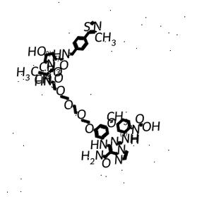 COc1cc(Nc2nc(N[C@H]3CCCC[C@H]3NC(=O)O)n3ccnc3c2C(N)=O)cc(OCCOCCOCCOCC(=O)N[C@H](C(=O)N2C[C@H](O)C[C@H]2C(=O)NCc2ccc(-c3scnc3C)cc2)C(C)(C)C)c1